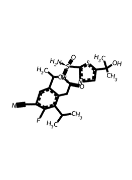 CC(C)c1cc(C#N)c(F)c(C(C)C)c1CC(=O)N=[S@](N)(=O)c1ncc(C(C)(C)O)s1